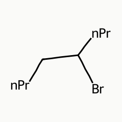 [CH2]CCC(Br)CCCC